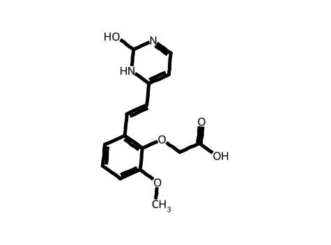 COc1cccc(/C=C/C2=CC=NC(O)N2)c1OCC(=O)O